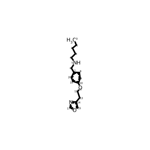 CCCCCNCc1ccc(OCCc2cocn2)cc1